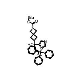 CC(C)(C)OC(=O)N1CC2(CC(C(O)(CCO)c3cncn3C(c3ccccc3)(c3ccccc3)c3ccccc3)C2)C1